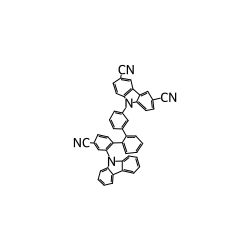 N#Cc1ccc(-c2ccccc2-c2cccc(-n3c4ccc(C#N)cc4c4cc(C#N)ccc43)c2)c(-n2c3ccccc3c3ccccc32)c1